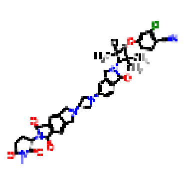 CC1(C)[C@H](Oc2ccc(C#N)c(Cl)c2)C(C)(C)[C@H]1N1Cc2cc(N3CC(N4Cc5cc6c(cc5C4)C(=O)N(C4CCC(=O)NC4=O)C6=O)C3)ccc2C1=O